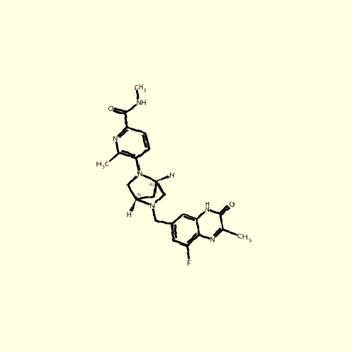 CNC(=O)c1ccc(N2C[C@@H]3C[C@H]2CN3Cc2cc(F)c3nc(C)c(=O)[nH]c3c2)c(C)n1